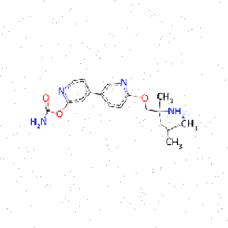 CC(C)CC(C)(N)COc1ccc(-c2ccnc(OC(N)=O)c2)cn1